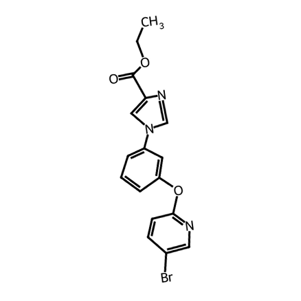 CCOC(=O)c1cn(-c2cccc(Oc3ccc(Br)cn3)c2)cn1